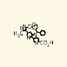 Cc1noc(C)c1-c1cnc2c3cnc(C(=O)O)cc3n(C(c3ccccc3)C3CCOCC3)c2c1